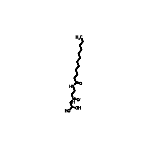 CCCCCCCCCCCC(=O)NCC[NH+]([O-])CC(O)O